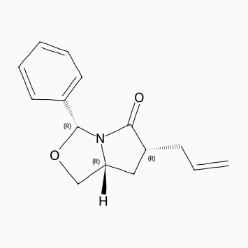 C=CC[C@@H]1C[C@@H]2CO[C@H](c3ccccc3)N2C1=O